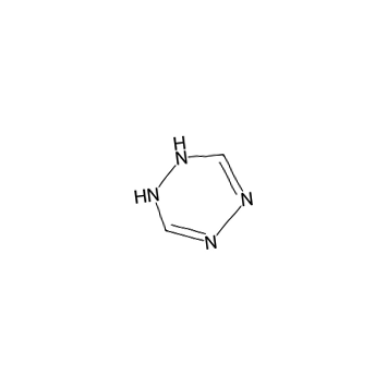 C1=NN=CNN1